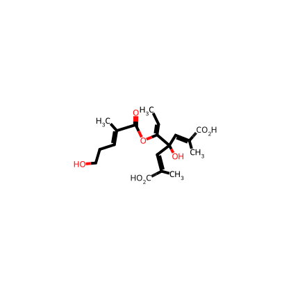 CC=C(OC(=O)C(C)=CCCO)C(O)(C=C(C)C(=O)O)C=C(C)C(=O)O